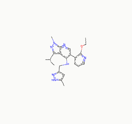 CCOc1ncccc1-c1cnc2c(c(C(C)C)nn2C)c1NCc1cc(C)[nH]n1